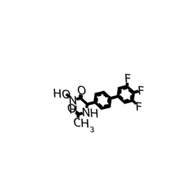 CC(=O)NC(C(=O)NO)c1ccc(-c2cc(F)c(F)c(F)c2)cc1